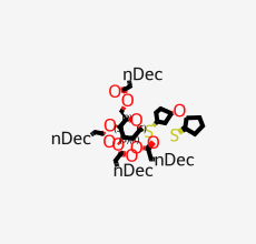 CCCCCCCCCCCC(=O)OC[C@H]1O[C@@H](SC2CCC(OC3CCCC3=S)C2)[C@H](OC(=O)CCCCCCCCCCC)[C@@H](OC(=O)CCCCCCCCCCC)[C@H]1OC(=O)CCCCCCCCCCC